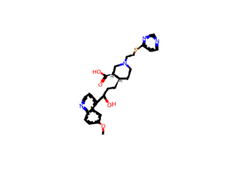 COc1ccc2nccc(C(O)CC[C@@H]3CCN(CCSc4ccncn4)C[C@@H]3C(=O)O)c2c1